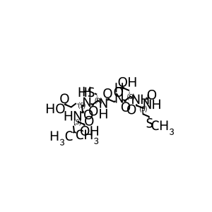 CSCC[C@H](NC=O)C(=O)N[C@@H](CC(=O)O)C(=O)NCC(=O)N[C@@H](CS)C(=O)N[C@@H](CCC(=O)O)C(=O)N[C@@H](CC(C)C)C(=O)O